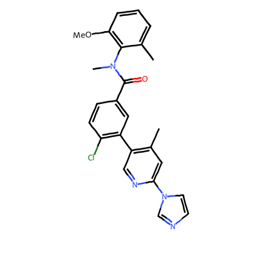 COc1cccc(C)c1N(C)C(=O)c1ccc(Cl)c(-c2cnc(-n3ccnc3)cc2C)c1